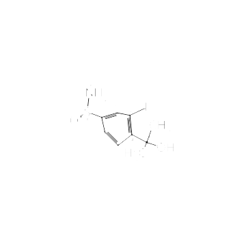 CC(C)(O)c1ccc([S+](N)[O-])cc1F